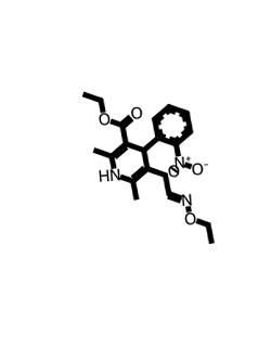 CCON=CCC1=C(C)NC(C)=C(C(=O)OCC)C1c1ccccc1[N+](=O)[O-]